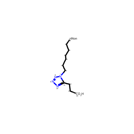 CCCCCCCCCCCCCCCn1nnnc1CCC(=O)O